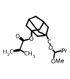 C=C(C)C(=O)OC12CC3CC(CC(COC(OC)C(C)C)(C3)C1)C2